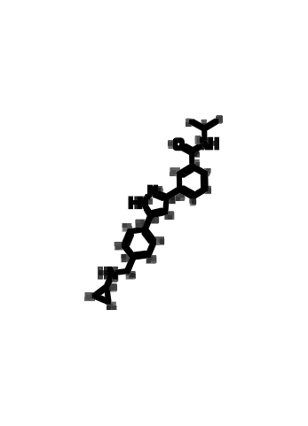 CC(C)NC(=O)c1cccc(-c2cc(-c3ccc(CNC4CC4)cc3)[nH]n2)c1